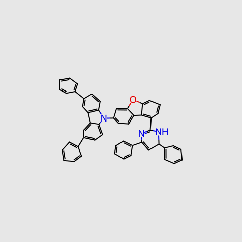 C1=C(c2ccccc2)N=C(c2cccc3oc4cc(-n5c6ccc(-c7ccccc7)cc6c6cc(-c7ccccc7)ccc65)ccc4c23)NC1c1ccccc1